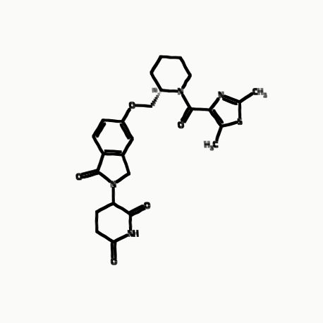 Cc1nc(C(=O)N2CCCC[C@H]2COc2ccc3c(c2)CN(C2CCC(=O)NC2=O)C3=O)c(C)s1